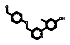 Cc1cc(O)ccc1-c1cc(COc2ccc(C=O)cc2)ccn1